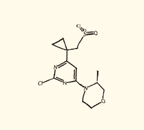 C[C@H]1COCCN1c1cc(C2(C[SH](=O)=O)CC2)nc(Cl)n1